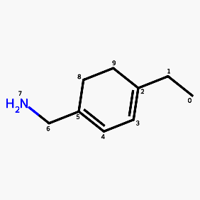 CCC1=CC=C(CN)CC1